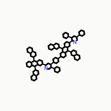 c1ccc(-c2cnc(-c3ccc4c(-c5ccc6ccccc6c5)c5cc(-c6ccc(-c7cc(-c8ccc9c(-c%10ccc%11ccccc%11c%10)c%10ccccc%10c(-c%10ccc%11ccccc%11c%10)c9c8)ncc7-c7ccccc7)cc6)ccc5c(-c5ccc6ccccc6c5)c4c3)c(-c3ccccc3)c2)cc1